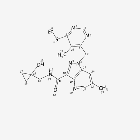 CCSc1ncnc(Cn2nc(C(=O)NCC3(O)CC3)c3ncc(C)cc32)c1C